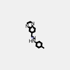 Cc1ccc(N/N=C/c2ccc3nccnc3c2)cc1